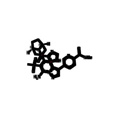 CNC(=O)c1ccc(-c2cnn3c(N)c(S(C)(=O)=O)c(C4C[C@H]5CC[C@@H](C4)N5C(=O)c4nc[nH]n4)nc23)cn1